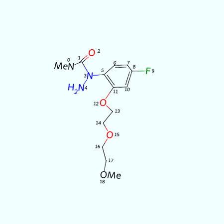 CNC(=O)N(N)c1ccc(F)cc1OCCOCCOC